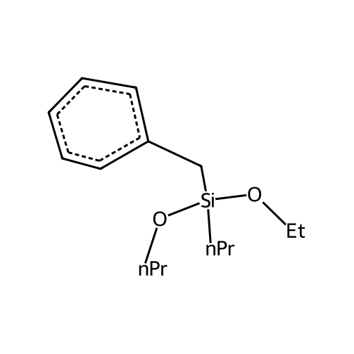 CCCO[Si](CCC)(Cc1ccccc1)OCC